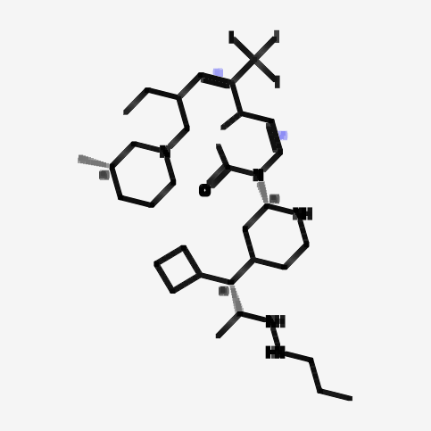 CCCNNC(C)[C@H](C1CCC1)C1CCN[C@@H](N(/C=C\C(C)/C(=C\C(CC)CN2CCC[C@H](C)C2)C(I)(I)I)C(C)=O)C1